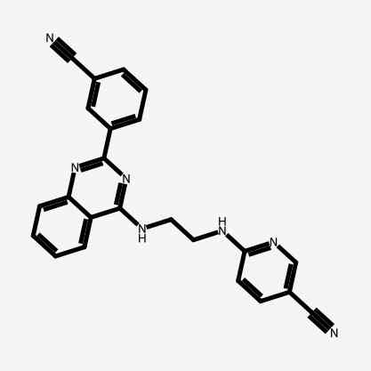 N#Cc1ccc(NCCNc2nc(-c3cccc(C#N)c3)nc3ccccc23)nc1